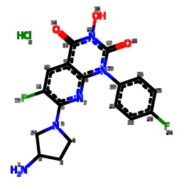 Cl.NC1CCN(c2nc3c(cc2F)c(=O)n(O)c(=O)n3-c2ccc(F)cc2)C1